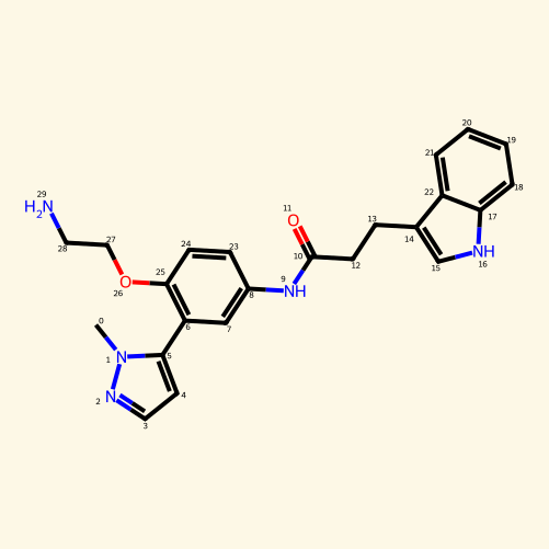 Cn1nccc1-c1cc(NC(=O)CCc2c[nH]c3ccccc23)ccc1OCCN